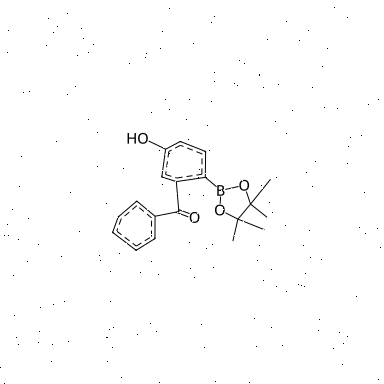 CC1(C)OB(c2ccc(O)cc2C(=O)c2ccccc2)OC1(C)C